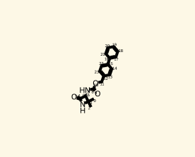 CC1(C)NC(=O)[C@@H]1NC(=O)OCc1ccc(-c2ccccc2)cc1